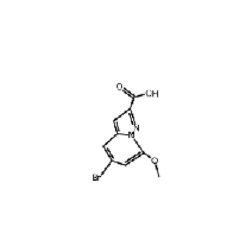 COc1cc(Br)cc2cc(C(=O)O)nn12